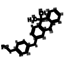 CC(C)Cc1ccc(Cc2ccc3c(c2)Sc2ccccc2C3(C)C)cc1